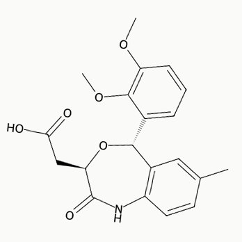 COc1cccc([C@H]2O[C@H](CC(=O)O)C(=O)Nc3ccc(C)cc32)c1OC